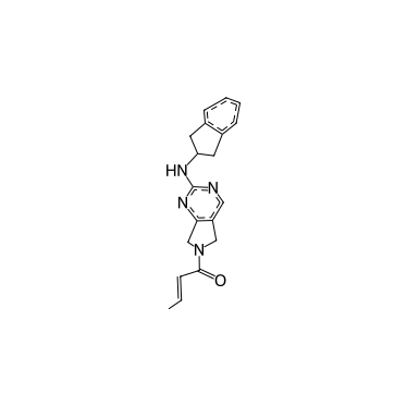 C/C=C/C(=O)N1Cc2cnc(NC3Cc4ccccc4C3)nc2C1